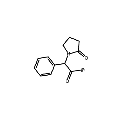 CC(C)C(=O)C(c1ccccc1)N1CCCC1=O